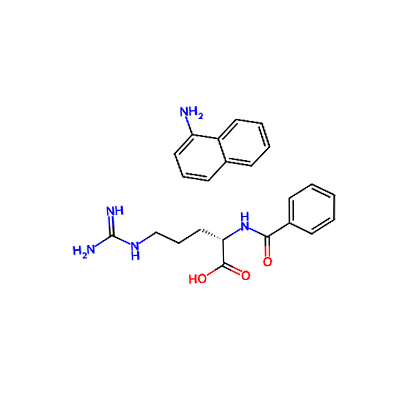 N=C(N)NCCC[C@H](NC(=O)c1ccccc1)C(=O)O.Nc1cccc2ccccc12